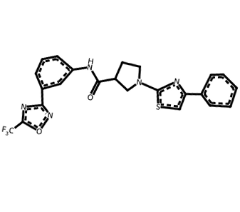 O=C(Nc1cccc(-c2noc(C(F)(F)F)n2)c1)C1CCN(c2nc(-c3ccccc3)cs2)C1